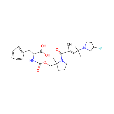 CC(C)(C=C(C#N)C(=O)N1CCCC1(C)COC(=O)NC(Cc1ccccc1)B(O)O)N1CCC(F)C1